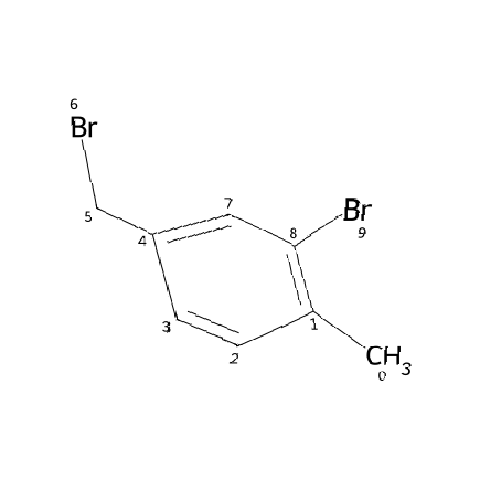 Cc1ccc(CBr)cc1Br